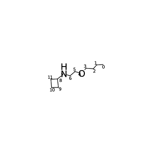 CCCCOCCNC1CCC1